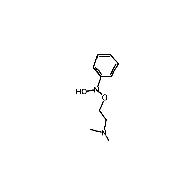 CN(C)CCON(O)c1ccccc1